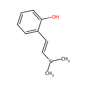 C[Si](C)C=Cc1ccccc1O